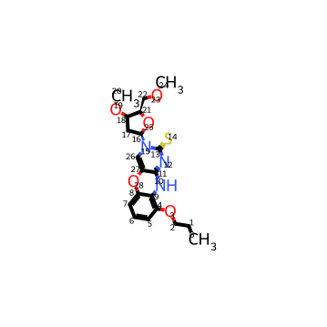 CCCOc1cccc2c1Nc1nc(=S)n([C@H]3CC(OC)[C@@H](COC)O3)cc1O2